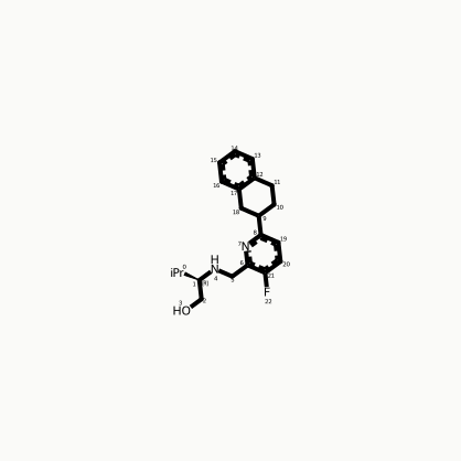 CC(C)[C@H](CO)NCc1nc(C2CCc3ccccc3C2)ccc1F